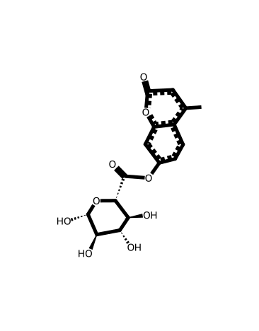 Cc1cc(=O)oc2cc(OC(=O)[C@H]3O[C@@H](O)[C@H](O)[C@@H](O)[C@@H]3O)ccc12